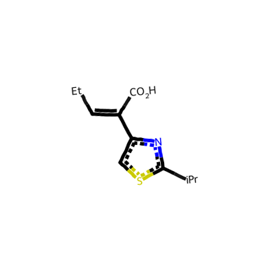 CCC=C(C(=O)O)c1csc(C(C)C)n1